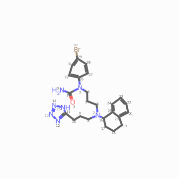 NC(=O)N(CCCN(CCCc1nnn[nH]1)C1CCCc2ccccc21)c1ccc(Br)cc1